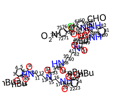 CCCCOc1cccc(C(=O)NCCCCN(CCCNC(=O)c2cccc(OCCCC)c2OCCCC)C(=O)CCC(=O)NCCCCCN(OCCCC)C(=O)CCC(=O)N[C@@H](C(=O)NC(C=O)[C@H]2CCC(Cl)=C(C(=O)OC(=O)c3ccc([N+](=O)[O-])cc3)N2)c2ccccc2)c1OCCCC